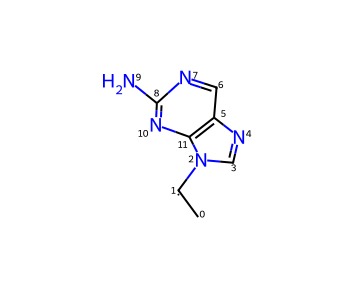 C[CH]n1cnc2cnc(N)nc21